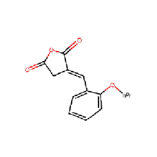 CCCOc1ccccc1C=C1CC(=O)OC1=O